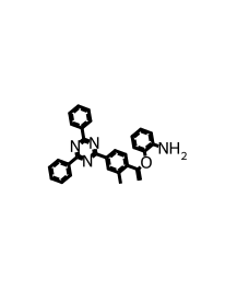 C=C(Oc1ccccc1N)c1ccc(-c2nc(-c3ccccc3)nc(-c3ccccc3)n2)cc1C